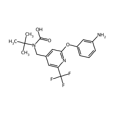 CC(C)(C)N(Cc1cc(Oc2cccc(N)c2)nc(C(F)(F)F)c1)C(=O)O